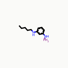 CCCCCNc1cccc(NP)c1